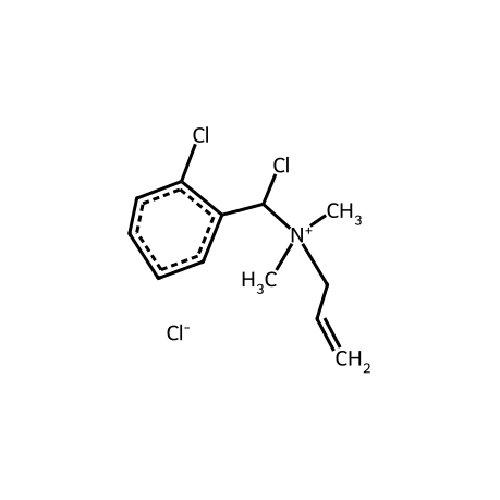 C=CC[N+](C)(C)C(Cl)c1ccccc1Cl.[Cl-]